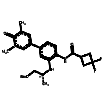 COC[C@@H](C)Nc1cc(-c2cc(C)c(=O)n(C)c2)ccc1NC(=O)C1CC(F)(F)C1